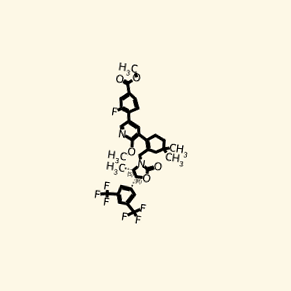 COC(=O)c1ccc(-c2cnc(OC)c(C3=C(CN4C(=O)O[C@H](c5cc(C(F)(F)F)cc(C(F)(F)F)c5)[C@@H]4C)CC(C)(C)CC3)c2)c(F)c1